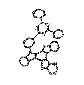 c1ccc(-c2nc(-c3ccccc3)nc(-c3cccc(-n4c5ccccc5c5c6sc7cncnc7c6c6c7ccccc7sc6c54)c3)n2)cc1